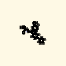 Cc1ccc2c(c1)c(/C=C/C(=O)O)c1n2CC(c2ccccc2)CC1